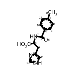 Cc1ccc(C(=O)N[C@@H](Cc2c[nH]cn2)C(=O)O)cc1